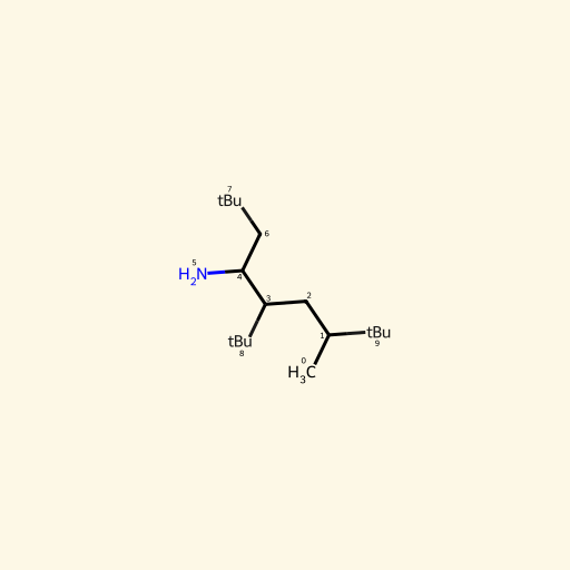 CC(CC(C(N)CC(C)(C)C)C(C)(C)C)C(C)(C)C